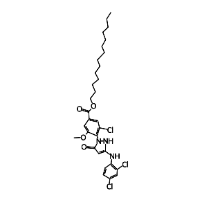 CCCCCCCCCCCCCCOC(=O)c1cc(Cl)c(-n2[nH]c(Nc3ccc(Cl)cc3Cl)cc2=O)c(OC)c1